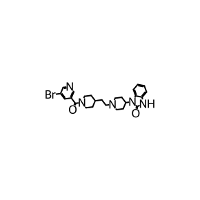 O=C(c1cncc(Br)c1)N1CCC(CCN2CCC(n3c(=O)[nH]c4ccccc43)CC2)CC1